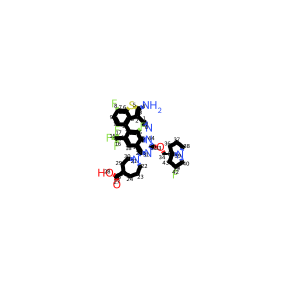 N#Cc1c(N)sc2c(F)ccc(-c3c(C(F)(F)F)cc4c(N5CCCC(C(=O)O)CC5)nc(OC[C@@]56CCCN5C[C@H](F)C6)nc4c3F)c12